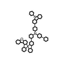 c1ccc(-c2ccc(N(c3ccc(-c4ccc5c(c4)c4ccccc4n5-c4ccccc4)cc3)c3cccc(-c4ccc5c(c4)C4(c6ccccc6-5)c5ccccc5-c5c4ccc4oc6ccccc6c54)c3)cc2)cc1